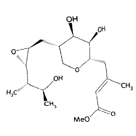 COC(=O)C=C(C)C[C@@H]1OC[C@H](C[C@@H]2O[C@H]2[C@@H](C)[C@H](C)O)[C@@H](O)[C@H]1O